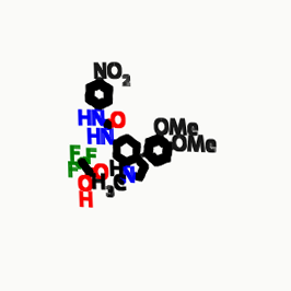 COc1ccc([C@@]23CC[C@@H](NC(=O)Nc4ccc([N+](=O)[O-])cc4)C[C@@H]2N(C)CC3)cc1OC.O=C(O)C(F)(F)F